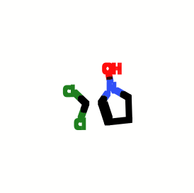 ClCCl.ON1C=CCC1